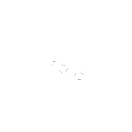 COC(=O)C(C)Oc1ccc(Oc2c(Cl)cccc2[N+](=O)[O-])cc1